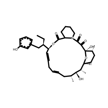 CC[C@H](Cc1cccc(O)c1)[C@@H]1/C=C/C/C=C/C[C@@H](C)[C@H](O)[C@@H](C)[C@@H]2CC[C@@H](C)[C@@](O)(O2)C(=O)C(=O)N2CCCCC2C(=O)O1